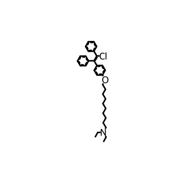 CCN(CC)CCCCCCCCCCOc1ccc(/C(=C(\Cl)c2ccccc2)c2ccccc2)cc1